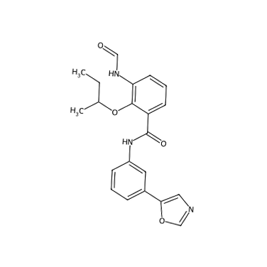 CCC(C)Oc1c(NC=O)cccc1C(=O)Nc1cccc(-c2cnco2)c1